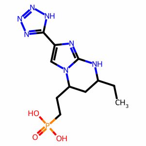 CCC1CC(CCP(=O)(O)O)n2cc(-c3nnn[nH]3)nc2N1